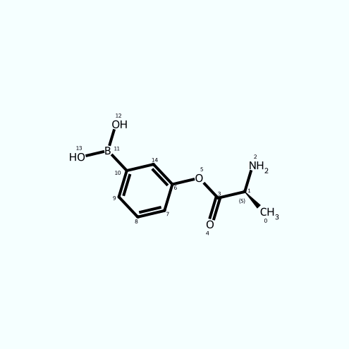 C[C@H](N)C(=O)Oc1cccc(B(O)O)c1